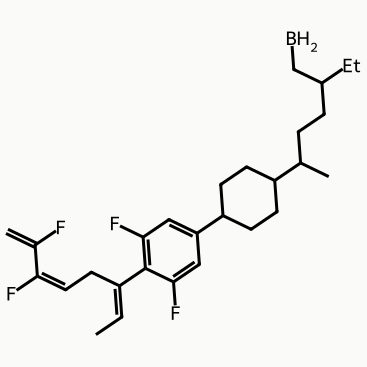 BCC(CC)CCC(C)C1CCC(c2cc(F)c(/C(=C/C)C/C=C(/F)C(=C)F)c(F)c2)CC1